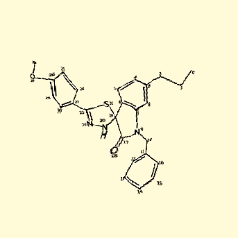 CCCc1ccc2c(c1)N(Cc1ccccc1)C(=O)C21NN=C(c2ccc(OC)cc2)S1